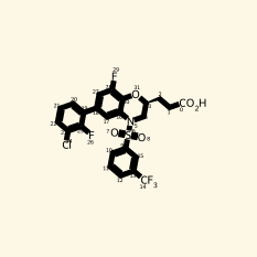 O=C(O)CC[C@H]1CN(S(=O)(=O)c2cccc(C(F)(F)F)c2)c2cc(-c3cccc(Cl)c3F)cc(F)c2O1